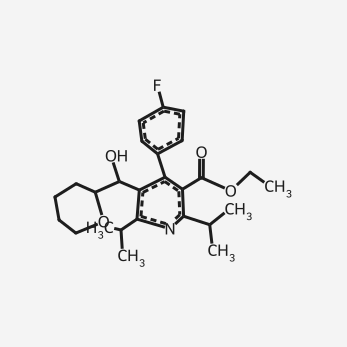 CCOC(=O)c1c(C(C)C)nc(C(C)C)c(C(O)C2CCCCO2)c1-c1ccc(F)cc1